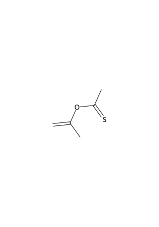 C=C(C)OC(C)=S